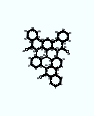 O=c1c2ccccc2c2ccc3c4c2n1-c1cccc2c1B4c1c4c(cc5c6ccccc6c(=O)n-3c15)c1ccccc1c(=O)n4-2